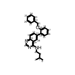 CC(C)CCNc1ncnc2ccc(-c3ccccc3OCc3ccccc3)cc12